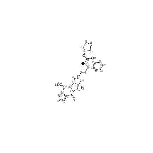 COc1cscc1C(=O)N1CC2CN(CCC(NC(=O)OC3CCOC3)c3ccccc3)C[C@H]2C1